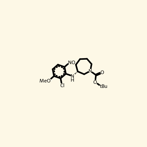 COc1ccc([N+](=O)[O-])c(N[C@@H]2CCCCN(C(=O)OC(C)(C)C)C2)c1Cl